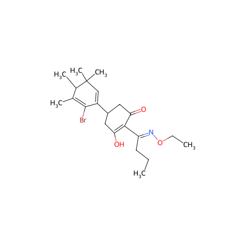 CCCC(=NOCC)C1=C(O)CC(C2=CC(C)(C)C(C)C(C)=C2Br)CC1=O